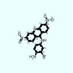 Nc1ccc(Nc2c3ccc([N+](=O)[O-])cc3nc3cc([N+](=O)[O-])ccc23)cc1Br